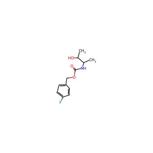 CC(O)C(C)NC(=O)OCc1ccc(F)cc1